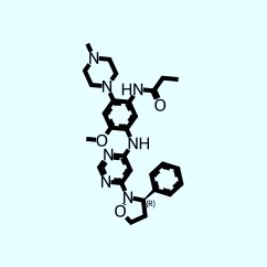 CCC(=O)Nc1cc(Nc2cc(N3OCC[C@@H]3c3ccccc3)ncn2)c(OC)cc1N1CCN(C)CC1